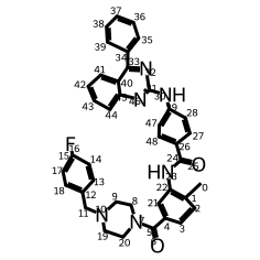 Cc1ccc(C(=O)N2CCN(Cc3ccc(F)cc3)CC2)cc1NC(=O)c1ccc(Nc2nc(-c3ccccc3)c3ccccc3n2)cc1